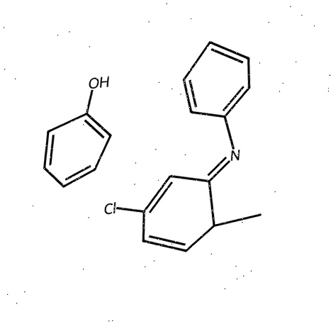 CC1C=CC(Cl)=CC1=Nc1ccccc1.Oc1ccccc1